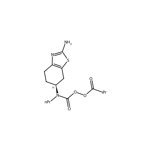 CCCN(C(=O)OOC(=O)C(C)C)[C@H]1CCc2nc(N)sc2C1